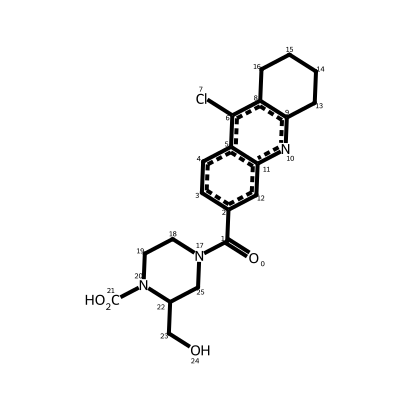 O=C(c1ccc2c(Cl)c3c(nc2c1)CCCC3)N1CCN(C(=O)O)C(CO)C1